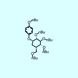 CCCCOC[C@H]1C[C@@H](Oc2ccc(OCCCC)cc2)[C@H](OCCCC)[C@@H](OCCCC)[C@@H]1OCCCC